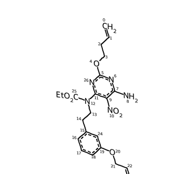 C=CCCOc1nc(N)c([N+](=O)[O-])c(N(CCc2cccc(OCC=C)c2)C(=O)OCC)n1